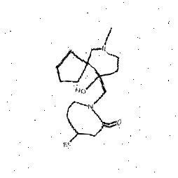 CCC1CCN(CC2(O)CCN(C)CC23CCCC3)C(=O)C1